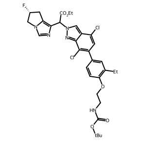 CCOC(=O)C(c1ncn2c1C[C@@H](F)C2)n1cc2c(Cl)cc(-c3ccc(OCCNC(=O)OC(C)(C)C)c(CC)c3)c(Cl)c2n1